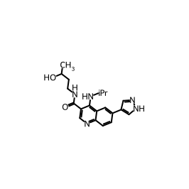 CC(O)CCNC(=O)c1cnc2ccc(-c3cn[nH]c3)cc2c1NC(C)C